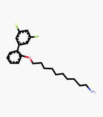 NCCCCCCCCCCOc1ccccc1-c1cc(F)cc(F)c1